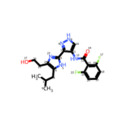 CC(C)Cc1[nH]c(-c2n[nH]cc2NC(=O)c2c(F)cccc2F)nc1CCO